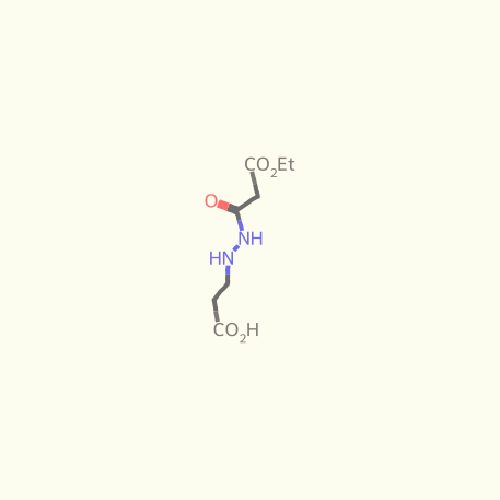 CCOC(=O)CC(=O)NNCCC(=O)O